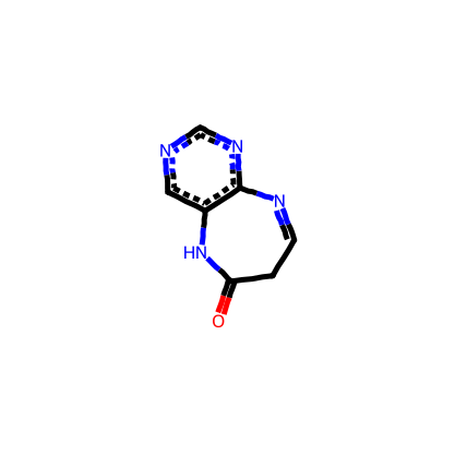 O=C1CC=Nc2ncncc2N1